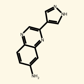 Nc1ccc2ncc(-c3cn[nH]c3)nc2c1